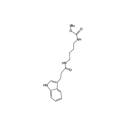 CC(C)(C)OC(=O)NCCCCNC(=O)CCc1c[nH]c2ccccc12